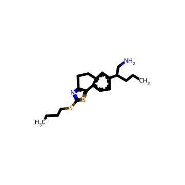 CCCCSc1nc2c(s1)-c1ccc(C(CN)CCC)cc1CC2